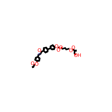 C=CC(=O)Oc1ccc(/C=C/C(=O)c2ccc(-c3ccc(OC(=O)OCCCCOC(=O)C(=C)CO)cc3)cc2)cc1